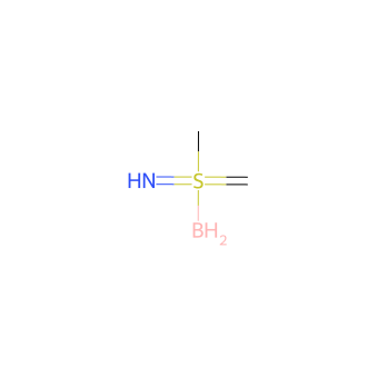 BS(=C)(C)=N